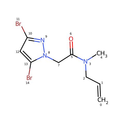 C=CCN(C)C(=O)Cn1nc(Br)cc1Br